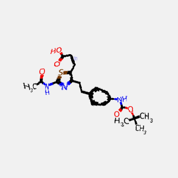 CC(=O)Nc1nc(CCc2ccc(NC(=O)OC(C)(C)C)cc2)c(/C=C\C(=O)O)s1